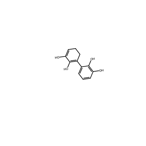 OC1=CCCC(c2cccc(O)c2O)=C1O